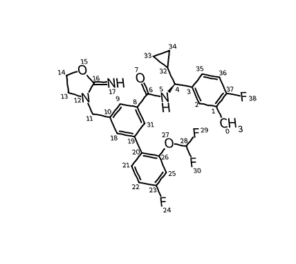 Cc1cc([C@@H](NC(=O)c2cc(CN3CCOC3=N)cc(-c3ccc(F)cc3OC(F)F)c2)C2CC2)ccc1F